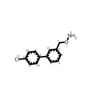 NOCc1cccc(-c2ccc(Cl)cc2)c1